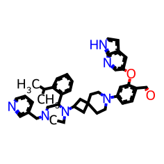 CC(C)c1ccccc1C1CN(Cc2cccnc2)CCN1C1CC2(CCN(c3ccc(C=O)c(Oc4cnc5[nH]ccc5c4)c3)CC2)C1